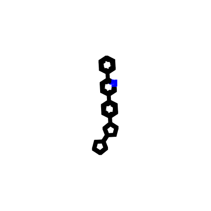 c1ccc(-c2ccc(-c3ccc(C4CCC(C5CCCC5)C4)cc3)cn2)cc1